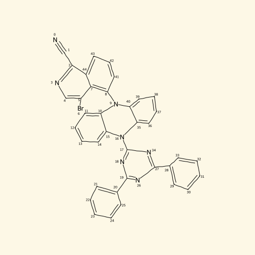 N#Cc1ncc(Br)c2c(N3c4ccccc4N(c4nc(-c5ccccc5)nc(-c5ccccc5)n4)c4ccccc43)cccc12